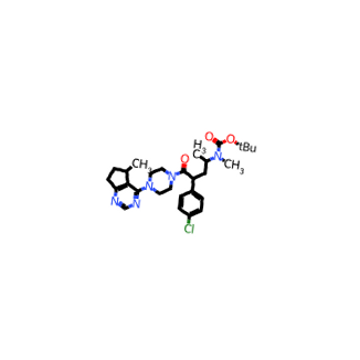 CC1CCc2ncnc(N3CCN(C(=O)C(CC(C)N(C)C(=O)OC(C)(C)C)c4ccc(Cl)cc4)CC3)c21